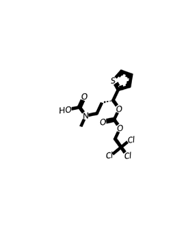 CN(CC[C@@H](OC(=O)OCC(Cl)(Cl)Cl)c1cccs1)C(=O)O